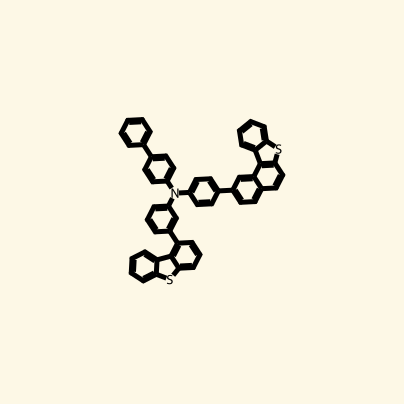 c1ccc(-c2ccc(N(c3ccc(-c4ccc5ccc6sc7ccccc7c6c5c4)cc3)c3cccc(-c4cccc5sc6ccccc6c45)c3)cc2)cc1